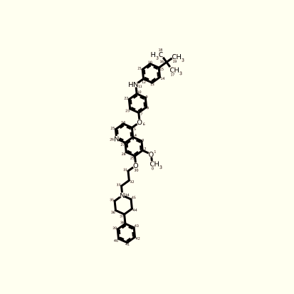 COc1cc2c(Oc3ccc(Nc4ccc(C(C)(C)C)cc4)cc3)ccnc2cc1OCCCN1CCC(c2ccccc2)CC1